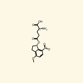 COc1ccc([N+](=O)[O-])c2c1CCN2OC(=O)CC[C@H](N)C(=O)O